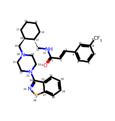 O=C(/C=C/c1cccc(C(F)(F)F)c1)NC[C@H]1CCCC[C@@H]1CN1CCN(c2nsc3ccccc23)CC1